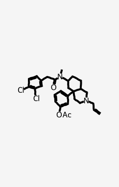 C=CCN1CCC2(c3cccc(OC(C)=O)c3)CC(N(C)C(=O)Cc3ccc(Cl)c(Cl)c3)CCC2C1